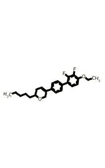 CCCCCC1CC=C(c2ccc(-c3ccc(OCC)c(F)c3F)cc2)CO1